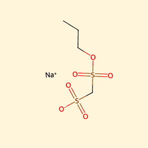 CCCOS(=O)(=O)CS(=O)(=O)[O-].[Na+]